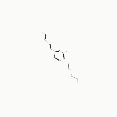 COCCOCOc1ccc(C=CC=CC(=O)O)cc1Cl